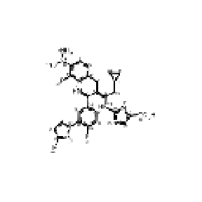 N=C(/C(Cc1ccc([S+](N)[O-])c(F)c1)=C(/CC1CC1)Nc1nc(C(=O)O)cs1)c1ccc(F)c(-c2ccc(F)s2)c1